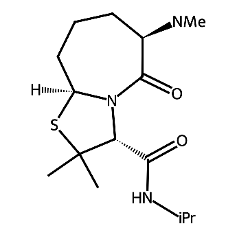 CN[C@@H]1CCC[C@@H]2SC(C)(C)[C@@H](C(=O)NC(C)C)N2C1=O